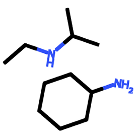 CCNC(C)C.NC1CCCCC1